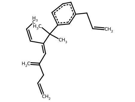 C=CCC(=C)/C=C(\C=C/C)C(C)(C)c1cccc(CC=C)c1